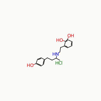 CC(CCc1ccc(O)cc1)NCCc1cccc(O)c1O.Cl